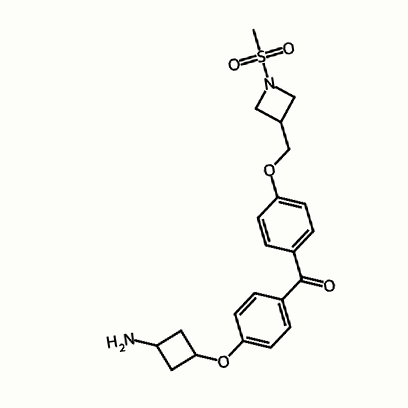 CS(=O)(=O)N1CC(COc2ccc(C(=O)c3ccc(OC4CC(N)C4)cc3)cc2)C1